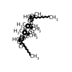 CCCCCCCCCC(CC)C(CC(=O)Oc1cc(C)c(Sc2cc(C(C)(C)C)c(OC(=O)CC(C(CC)CCCCCCCCC)S(=O)(=O)O)cc2C)cc1C(C)(C)C)S(=O)(=O)O